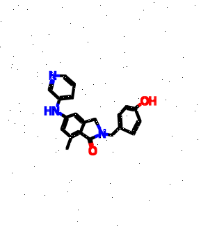 Cc1cc(Nc2cccnc2)cc2c1C(=O)N(Cc1ccc(O)cc1)C2